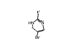 FC1=NC=C(Br)[CH]N1